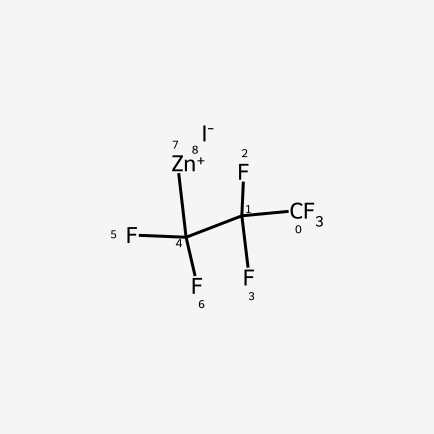 FC(F)(F)C(F)(F)[C](F)(F)[Zn+].[I-]